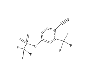 C=S(=C)(Oc1ccc(C#N)c(C(F)(F)F)c1)C(F)(F)F